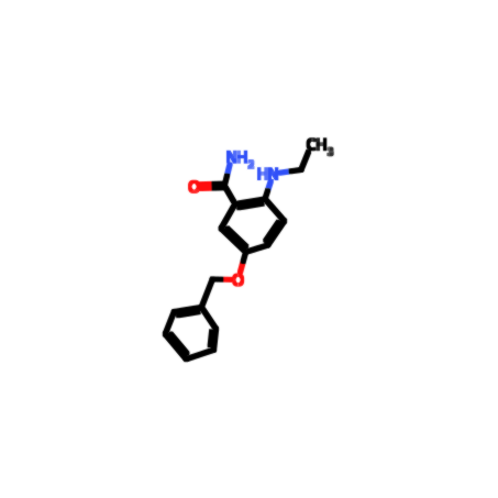 CCNc1ccc(OCc2ccccc2)cc1C(N)=O